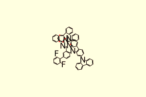 Fc1cccc(F)c1-c1ccc(-n2c3cc(-n4c5ccccc5c5ccccc54)ccc3c3ccc(-n4c5ccccc5c5ccccc54)cc32)c(-c2nc(-c3ccccc3)nc(-c3ccccc3)n2)c1